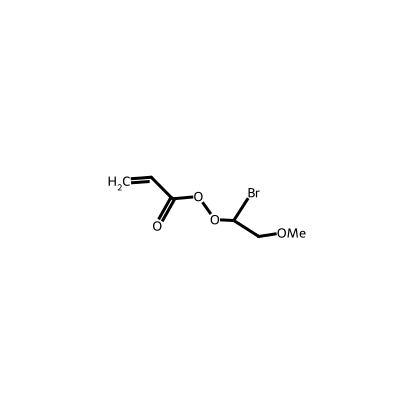 C=CC(=O)OOC(Br)COC